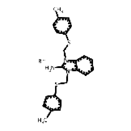 Cc1ccc(SCn2c(N)[n+](CSc3ccc(C)cc3)c3ccccc32)cc1.[Br-]